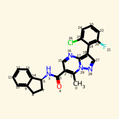 Cc1c(C(=O)N[C@H]2CCc3ccccc32)cnc2c(-c3c(F)cccc3Cl)cnn12